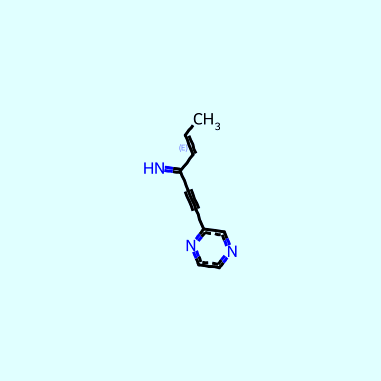 C/C=C/C(=N)C#Cc1cnccn1